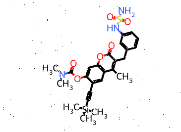 Cc1c(Cc2cccc(NS(N)(=O)=O)c2)c(=O)oc2cc(OC(=O)N(C)C)c(C#C[Si](C)(C)C)cc12